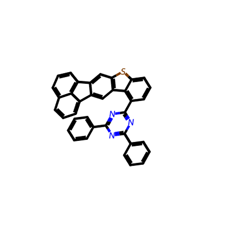 c1ccc(-c2nc(-c3ccccc3)nc(-c3cccc4sc5cc6c(cc5c34)-c3cccc4cccc-6c34)n2)cc1